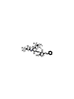 CC(C)(C)OC(=O)/N=C(/NCCC[C@H](NC(=O)OCc1ccccc1)C(=O)O)NC(=O)OC(C)(C)C